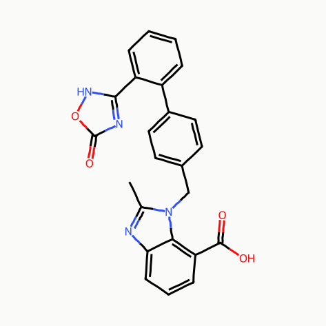 Cc1nc2cccc(C(=O)O)c2n1Cc1ccc(-c2ccccc2-c2nc(=O)o[nH]2)cc1